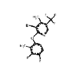 Cc1c(Oc2ncc(C(F)(F)F)c(C)c2Br)ccc(F)c1F